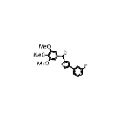 COc1cc(C(=O)c2cc(-c3cccc(F)c3)cs2)cc(OC)c1OC